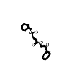 O=C(/C=C/C(=O)OCc1ccccc1)OCC(=O)c1ccccc1